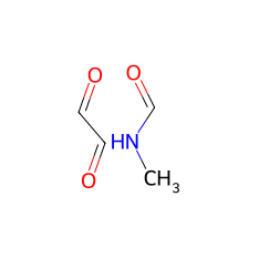 CNC=O.O=CC=O